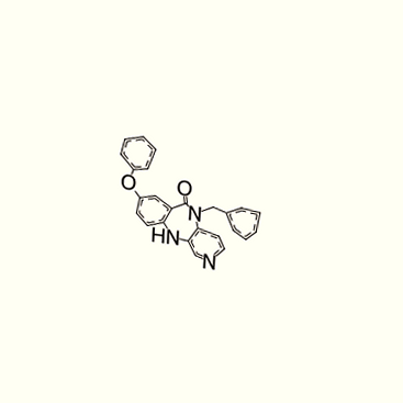 O=C1c2cc(Oc3ccccc3)ccc2Nc2cnccc2N1Cc1ccccc1